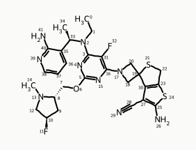 CCN(c1nc(OC[C@@H]2C[C@@H](F)CN2C)nc(N2CC3(C2)SCc2sc(N)c(C#N)c23)c1F)[C@H](C)c1cccnc1N